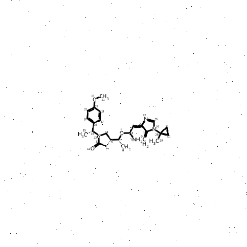 C=c1/c(=C\C(N)O[C@H](C)[C@@H]2CC(=O)N([C@H](C)c3ccc(OC)cc3)C2)ncn1C1(C)CC1